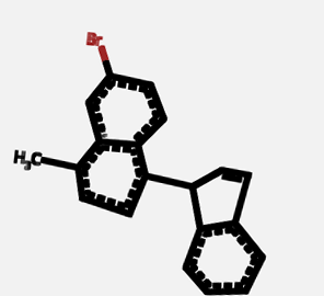 Cc1ccc(C2C=Cc3ccccc32)c2ccc(Br)cc12